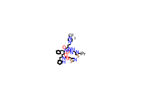 CC(C)c1nc(CN(C)C(=O)NC(CCN2CCN(C(F)(F)F)CC2)C(=O)NC(CCC(Cc2ccccc2)NC(=O)OCc2cncs2)Cc2ccccc2)cs1